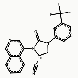 N#C[C@H]1CN(c2cncc(C(F)(F)F)c2)C(=O)N1c1cncc2ccccc12